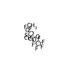 CSc1c(OC(C)(F)F)ccc(C(=O)Oc2c(F)c(F)c(F)c(F)c2F)c1Cl